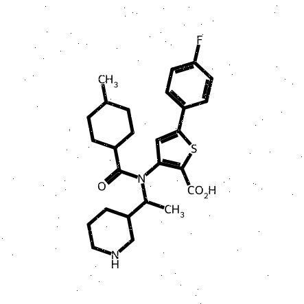 CC1CCC(C(=O)N(c2cc(-c3ccc(F)cc3)sc2C(=O)O)C(C)C2CCCNC2)CC1